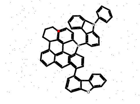 c1ccc(-n2c3ccccc3c3c(N(c4ccc(-c5cccc6oc7ccccc7c56)cc4)c4ccccc4-c4cccc5cccc(C6CCCCC6)c45)cccc32)cc1